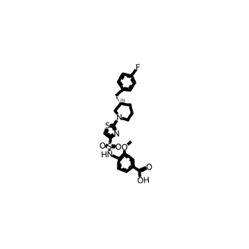 COc1cc(C(=O)O)ccc1NS(=O)(=O)c1csc(N2CCC[C@@H](Cc3ccc(F)cc3)C2)n1